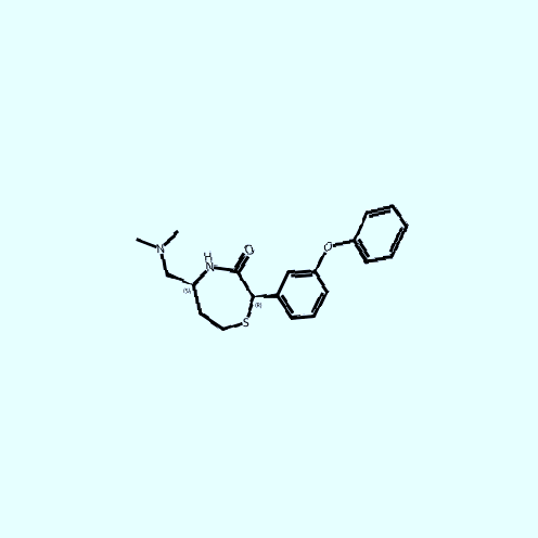 CN(C)C[C@@H]1CCS[C@H](c2cccc(Oc3ccccc3)c2)C(=O)N1